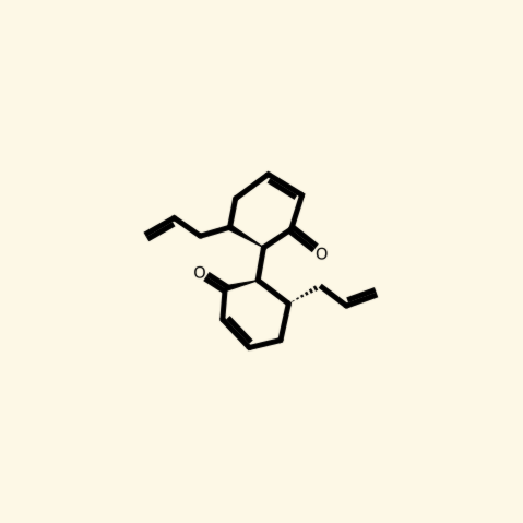 C=CCC1CC=CC(=O)[C@H]1[C@@H]1C(=O)C=CC[C@H]1CC=C